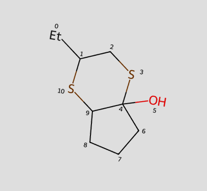 CCC1CSC2(O)CCCC2S1